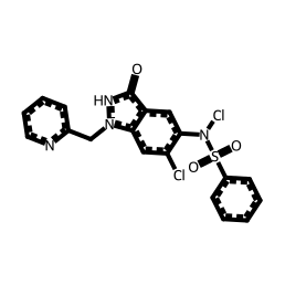 O=c1[nH]n(Cc2ccccn2)c2cc(Cl)c(N(Cl)S(=O)(=O)c3ccccc3)cc12